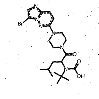 CC(C)CC(C(=O)N1CCN(c2ccc3ncc(Br)n3n2)CC1)N(C(=O)O)C(C)(C)C